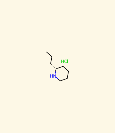 CCC[C@@H]1CCCCN1.Cl